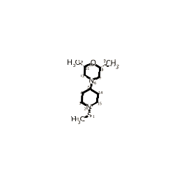 CSN1CCC(N2C[C@@H](C)O[C@@H](C)C2)CC1